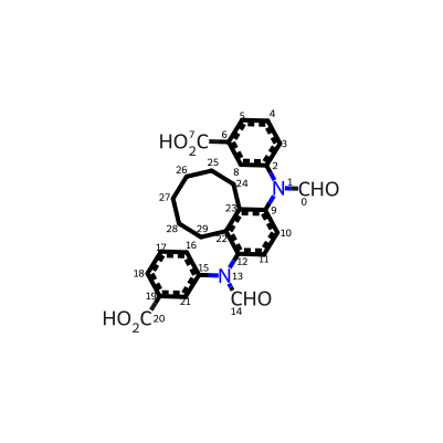 O=CN(c1cccc(C(=O)O)c1)c1ccc(N(C=O)c2cccc(C(=O)O)c2)c2c1CCCCCC2